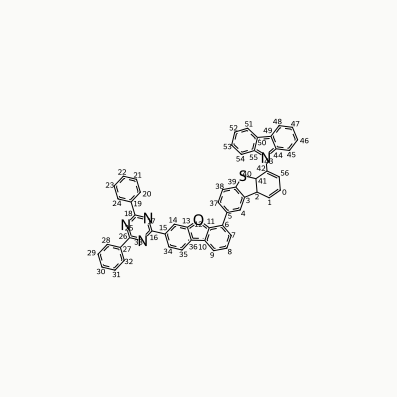 C1=CC2c3cc(-c4cccc5c4oc4cc(-c6nc(-c7ccccc7)nc(-c7ccccc7)n6)ccc45)ccc3SC2C(n2c3ccccc3c3ccccc32)=C1